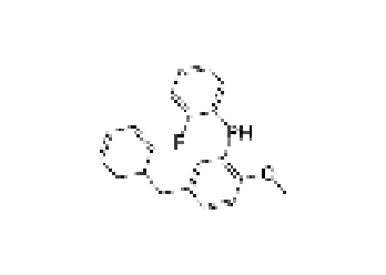 COc1ccc(CC2C=CC=CC2)cc1Pc1ccccc1F